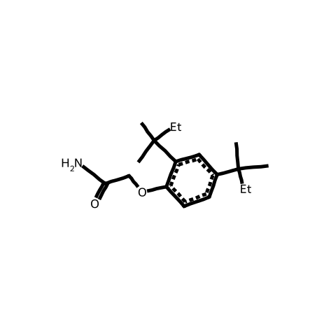 CCC(C)(C)c1ccc(OCC(N)=O)c(C(C)(C)CC)c1